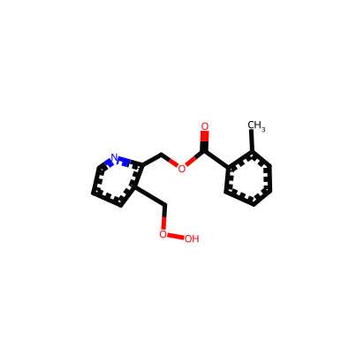 Cc1ccccc1C(=O)OCc1ncccc1COO